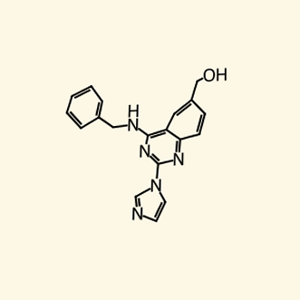 OCc1ccc2nc(-n3ccnc3)nc(NCc3ccccc3)c2c1